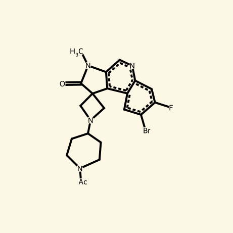 CC(=O)N1CCC(N2CC3(C2)C(=O)N(C)c2cnc4cc(F)c(Br)cc4c23)CC1